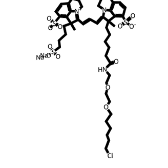 CC1(CCCCS(=O)(=O)[O-])C(/C=C/C=C2\N3CCCc4ccc(S(=O)(=O)[O-])c(c43)C2(C)CCCCCC(=O)NCCOCCOCCCCCCCl)=[N+]2CCCc3ccc(S(=O)(=O)[O-])c1c32.[Na+].[Na+]